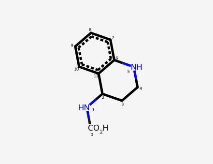 O=C(O)NC1CCNc2ccccc21